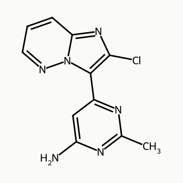 Cc1nc(N)cc(-c2c(Cl)nc3cccnn23)n1